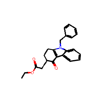 CCOC(=O)CC1CCc2c(c3ccccc3n2Cc2ccccc2)C1=O